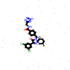 CC(C)[C@@H]1CC[C@@H](C)C[C@]12N=C(c1cc(Cl)cc(Cl)c1)C(=O)N2Cc1ccc(C(=O)NCc2nn[nH]n2)cc1